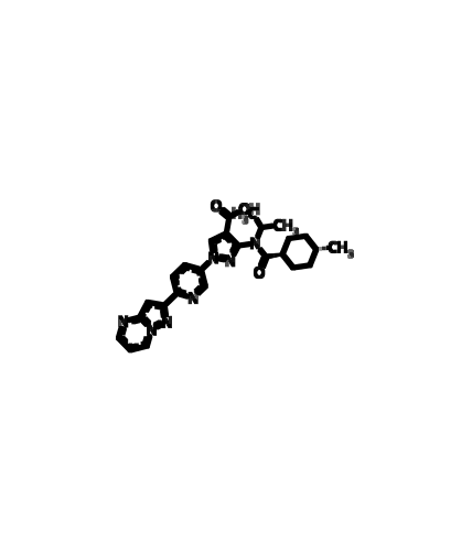 CC(C)N(c1nn(-c2ccc(-c3cc4ncccn4n3)nc2)cc1C(=O)O)C(=O)[C@H]1CC[C@H](C)CC1